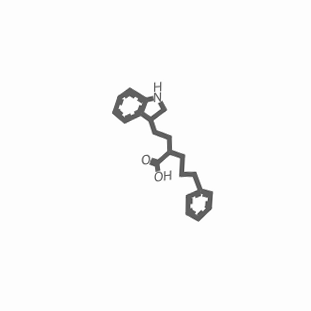 O=C(O)C(CCCc1ccccc1)CCC1CNc2ccccc21